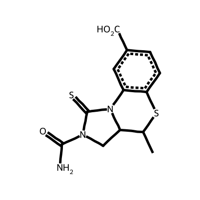 CC1Sc2ccc(C(=O)O)cc2N2C(=S)N(C(N)=O)CC12